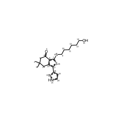 CC1(C)CC(=O)c2c(SCCCCCCO)sc(-c3cc[nH]n3)c2C1